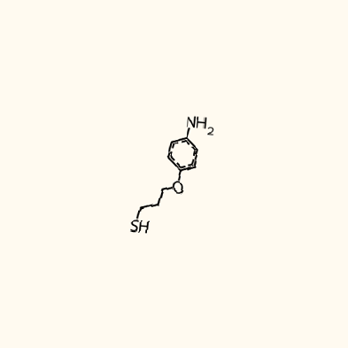 Nc1ccc(OCCCS)cc1